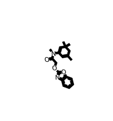 CC1=CC(N(C)C(=O)COc2nc3ccccc3o2)=CC(C)(C)C1